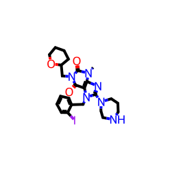 Cn1c(=O)n(CC2CCCCO2)c(=O)c2c1nc(N1CCCNCC1)n2Cc1ccccc1I